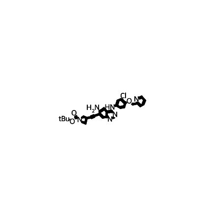 CC(C)(C)OC(=O)N1CCC(C#Cc2cc3ncnc(Nc4ccc(OCc5ccccn5)c(Cl)c4)c3cc2N)C1